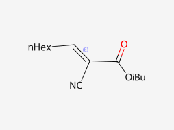 CCCCCC/C=C(\C#N)C(=O)OCC(C)C